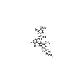 COc1ccc([C@H](O)CNc2cc[nH]c(=O)c2-c2nc3c(C)cc(N4CCN(C)CC4)cc3[nH]2)cc1Br